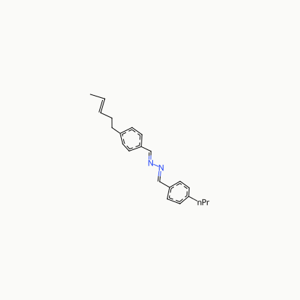 C/C=C/CCc1ccc(/C=N/N=C/c2ccc(CCC)cc2)cc1